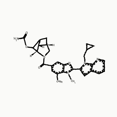 COc1cc(C(=O)N2C[C@H]3CC4C(OC(N)=O)[C@@H]2[C@H]43)cc2nc(-c3cc4cccnc4n3CC3CC3)n(C)c12